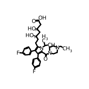 CCN1CCN(C(=O)c2c(-c3ccc(F)cc3)c(-c3ccc(F)cc3)c(CC[C@@H](O)C[C@@H](O)CC(=O)O)n2C(C)C)CC1